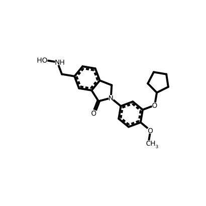 COc1ccc(N2Cc3ccc(CNO)cc3C2=O)cc1OC1CCCC1